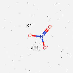 O=[N+]([O-])[O-].[AlH3].[K+]